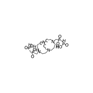 O=[PH](O)CP(=O)(O)CN1CCCN2CCN(CCCN(CP(=O)(O)C[PH](=O)O)CC2)CC1